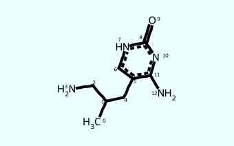 CC(CN)Cc1c[nH]c(=O)nc1N